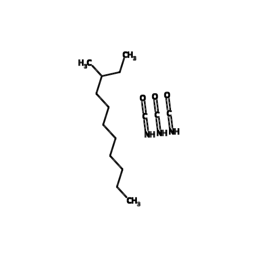 CCCCCCCCC(C)CC.N=C=O.N=C=O.N=C=O